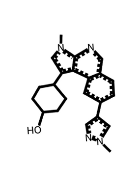 Cn1cc(-c2ccc3cnc4c(c(C5CCC(O)CC5)cn4C)c3c2)cn1